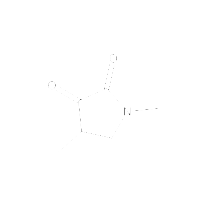 CC1CN(C)C(=O)C1=O